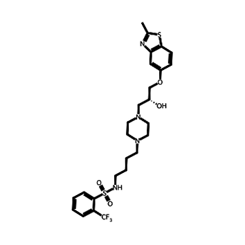 Cc1nc2cc(OC[C@H](O)CN3CCN(CCCCNS(=O)(=O)c4ccccc4C(F)(F)F)CC3)ccc2s1